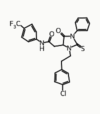 O=C(CC1C(=O)N(c2ccccc2)C(=S)N1CCc1ccc(Cl)cc1)Nc1ccc(C(F)(F)F)cc1